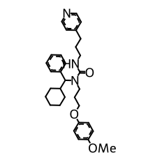 COc1ccc(OCCCN(C(=O)NCCCc2ccncc2)C(c2ccccc2)C2CCCCC2)cc1